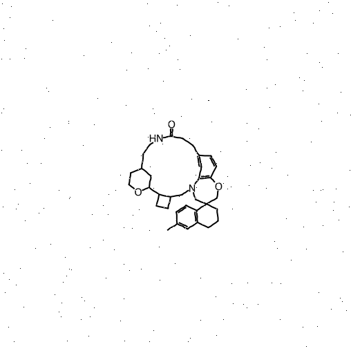 Cc1ccc2c(c1)CCCC21COc2ccc3cc2N(CC2CCC2C2CC(CCNC(=O)CC3)CCO2)C1